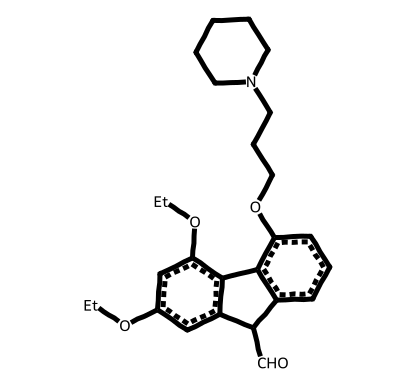 CCOc1cc(OCC)c2c(c1)C(C=O)c1cccc(OCCCN3CCCCC3)c1-2